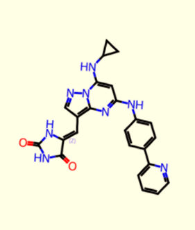 O=C1NC(=O)/C(=C/c2cnn3c(NC4CC4)cc(Nc4ccc(-c5ccccn5)cc4)nc23)N1